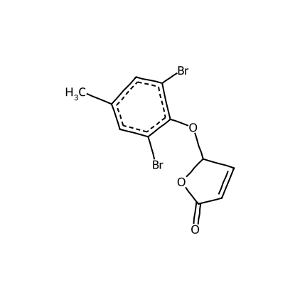 Cc1cc(Br)c(OC2C=CC(=O)O2)c(Br)c1